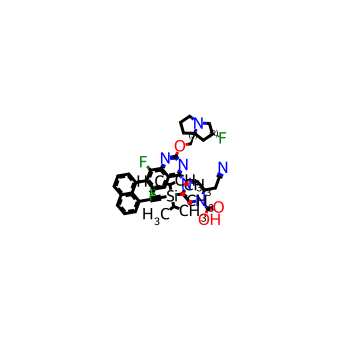 CC(C)[Si](C#Cc1cccc2cccc(-c3c(F)cc4c(N5CCN(C(=O)O)C(CC#N)C5)nc(OC[C@@]56CCCN5C[C@H](F)C6)nc4c3F)c12)(C(C)C)C(C)C